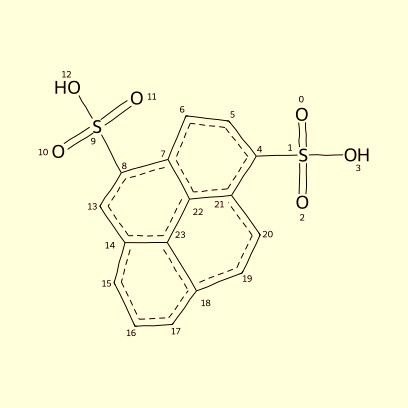 O=S(=O)(O)c1ccc2c(S(=O)(=O)O)cc3cccc4ccc1c2c43